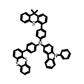 CC1(C)c2ccccc2Sc2c(-c3ccc(N(c4ccc(-c5cccc6c5Sc5ccccc5S6)cc4)c4ccc5c(c4)c4ccccc4n5-c4ccccc4)cc3)cccc21